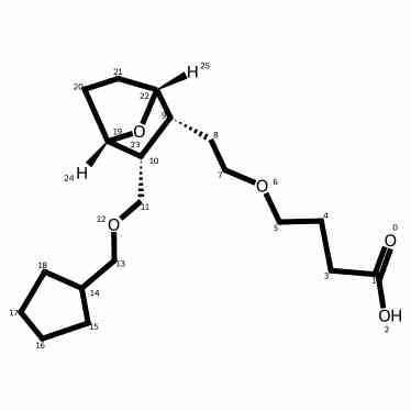 O=C(O)CCCOCC[C@@H]1[C@H](COCC2CCCC2)[C@@H]2CC[C@H]1O2